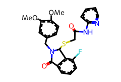 COc1ccc(CN2C(=O)c3cccc(F)c3C2SCC(=O)Nc2ccccn2)cc1OC